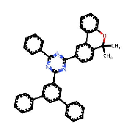 CC1(C)Oc2ccccc2-c2cc(-c3nc(-c4ccccc4)nc(-c4cc(-c5ccccc5)cc(-c5ccccc5)c4)n3)ccc21